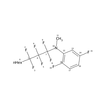 CCCCCCC(F)(F)C(F)(F)C(F)(F)N(C)c1cc(F)ccc1F